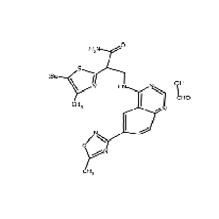 Cc1nc(-c2ccc3ncnc(NCC(C(N)=O)c4nc(C)c(C(C)(C)C)s4)c3c2)no1.O=CO